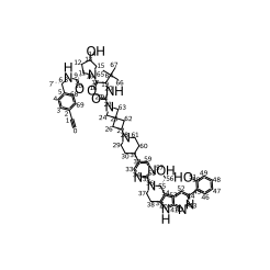 C#Cc1ccc([C@H](C)NC(=O)[C@@H]2C[C@@H](O)CN2C(=O)[C@@H](NC(=O)N2CC3(CC(N4CCC(c5cnc(N6CCc7[nH]c8nnc(-c9ccccc9O)cc8c7[C@H]6CO)nc5)CC4)C3)C2)C(C)(C)C)cc1